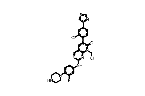 CCn1c(=O)c(-c2ccc(-c3cscn3)cc2Cl)cc2cnc(Nc3ccc(N4CCNCC4)c(F)c3)nc21